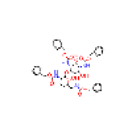 O=C(NCC1CCC(NC(=O)OCc2ccccc2)[C@@H](OC2C(O)[C@@H](O)[C@H](NC(=O)OCc3ccccc3)C(O)[C@@H]2NC(=O)OCc2ccccc2)O1)OCc1ccccc1